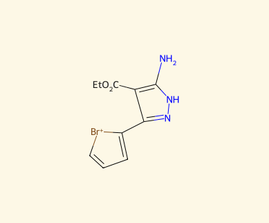 CCOC(=O)c1c(C2=CC=C[Br+]2)n[nH]c1N